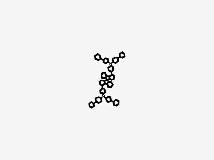 C1=CCCC(C2=CCC(N(c3ccc(-c4ccccc4)cc3)c3ccc(-c4cccc5c4-c4ccccc4C54c5ccccc5-c5c(-c6ccc(N(c7ccc(-c8ccccc8)cc7)C7CC=C(C8C=CC=CC8)CC7)cc6)cccc54)cc3)CC2)=C1